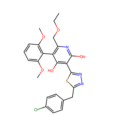 CCOCc1nc(O)c(-c2nnc(Cc3ccc(Cl)cc3)s2)c(O)c1-c1c(OC)cccc1OC